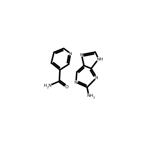 NC(=O)c1cccnc1.Nc1ncc2nc[nH]c2n1